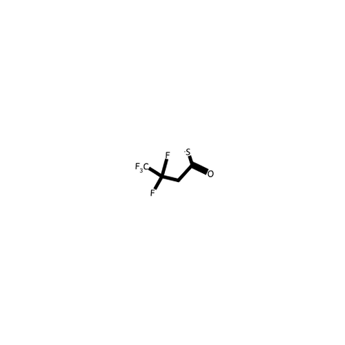 O=C([S])CC(F)(F)C(F)(F)F